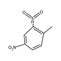 Cc1ccc([N+](=O)[O-])cc1[SH](=O)=O